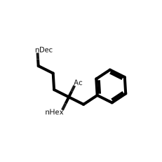 CCCCCCCCCCCCCC(CCCCCC)(Cc1ccccc1)C(C)=O